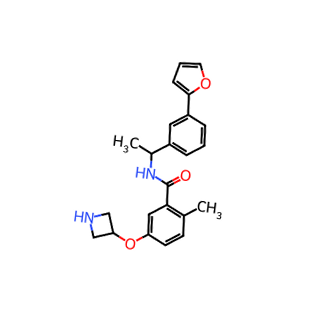 Cc1ccc(OC2CNC2)cc1C(=O)NC(C)c1cccc(-c2ccco2)c1